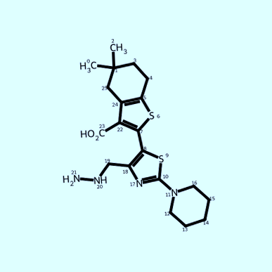 CC1(C)CCc2sc(-c3sc(N4CCCCC4)nc3CNN)c(C(=O)O)c2C1